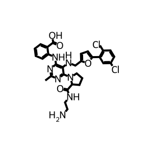 Cc1nc(Nc2ccccc2C(=O)O)c(NCc2ccc(-c3cc(Cl)ccc3Cl)o2)c(N2CCCC2C(=O)NCCN)n1